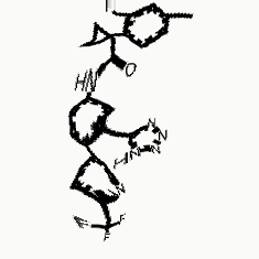 Cc1ccc(C2(C(=O)Nc3ccc(-c4ccc(C(F)(F)F)nc4)c(-c4nnn[nH]4)c3)CC2)c(F)c1